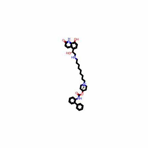 O=C(Nc1ccccc1-c1ccccc1)OC12CC[N+](CCCCCCCCCNC[C@H](O)c3ccc(O)c4[nH]c(=O)ccc34)(CC1)CC2